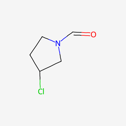 O=CN1CCC(Cl)C1